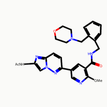 COc1ncc(-c2ccc3nc(NC(C)=O)cn3n2)cc1C(=O)NCc1ccccc1CN1CCOCC1